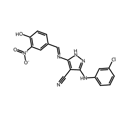 N#Cc1c(Nc2cccc(Cl)c2)n[nH]c1N=Cc1ccc(O)c([N+](=O)[O-])c1